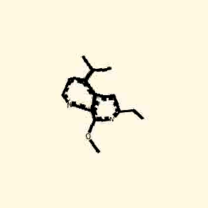 CCc1cc2c(C(C)C)ccnc2c(OC)n1